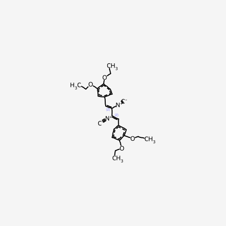 [C-]#[N+]C(=C\c1ccc(OCC)c(OCC)c1)/C(=C/c1ccc(OCC)c(OCC)c1)[N+]#[C-]